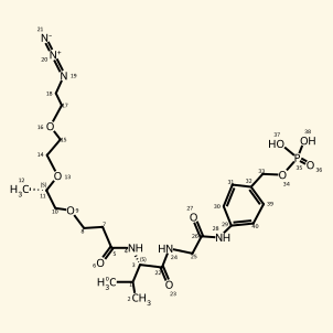 CC(C)[C@H](NC(=O)CCOC[C@H](C)OCCOCCN=[N+]=[N-])C(=O)NCC(=O)Nc1ccc(COP(=O)(O)O)cc1